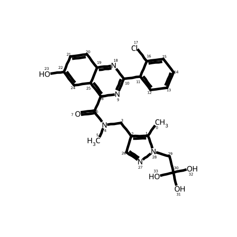 Cc1c(CN(C)C(=O)c2nc(-c3ccccc3Cl)nc3ccc(O)cc23)cnn1CC(O)(O)O